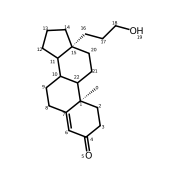 C[C@]12CCC(=O)C=C1CCC1C3CCC[C@@]3(CCCO)CCC12